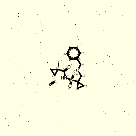 C=C[C@@H]1C[C@]1(C)C(=O)NS(=O)(=O)C1(COCc2ccccc2)CC1